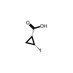 O=C(O)[C@H]1C[C@H]1I